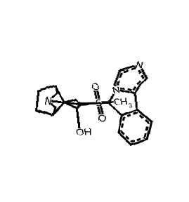 CS(=O)(=O)N1CC2CCC(C1)C21CC([C@@H]2c3ccccc3-c3cncn32)C1O